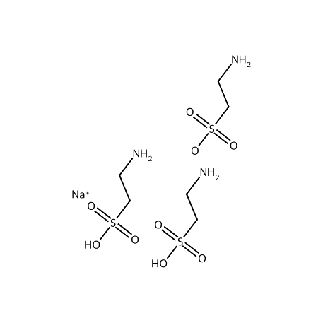 NCCS(=O)(=O)O.NCCS(=O)(=O)O.NCCS(=O)(=O)[O-].[Na+]